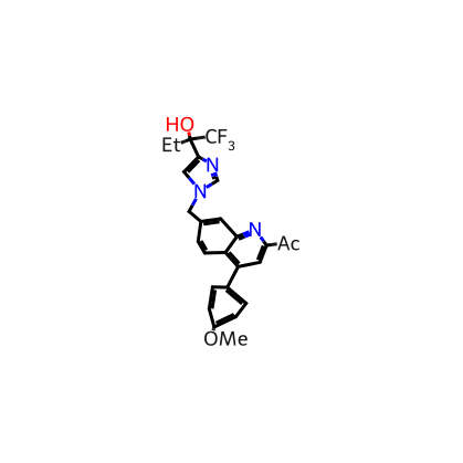 CCC(O)(c1cn(Cc2ccc3c(-c4ccc(OC)cc4)cc(C(C)=O)nc3c2)cn1)C(F)(F)F